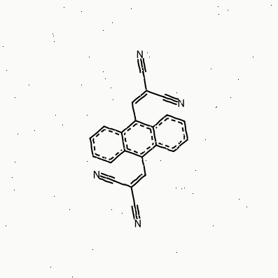 N#CC(C#N)=Cc1c2ccccc2c(C=C(C#N)C#N)c2ccccc12